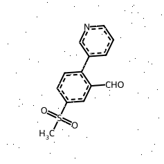 CS(=O)(=O)c1ccc(-c2cccnc2)c(C=O)c1